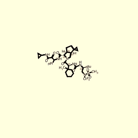 CCCC(NC(=O)[C@@H]1[C@H]2CCC3(CC3)[C@H]2CN1C(=O)[C@@H](NC(=O)N[C@H](CN(C)S(C)(=O)=O)C(C)(C)C)C1(C)CCCCC1)C(=O)C(=O)NC1CC1